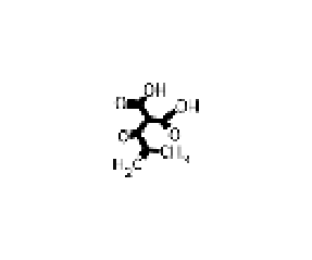 C=C(C)C(=O)C(C(=O)O)C(=O)O